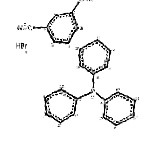 Br.COc1cccc(OC)c1.c1ccc(P(c2ccccc2)c2ccccc2)cc1